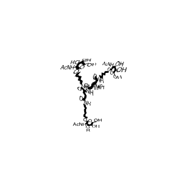 CC(=O)N[C@H]1[C@H](OCCCCCCNC(=O)CCC(NC(=O)CCC(NC(C)C)C(=O)NCCCCCCO[C@@H]2O[C@H](CO)[C@H](O)[C@H](O)[C@H]2NC(C)=O)C(=O)NCCCCCCO[C@@H]2O[C@H](CO)[C@H](O)[C@H](O)[C@H]2NC(C)=O)O[C@H](CO)[C@H](O)[C@@H]1O